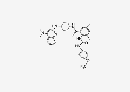 Cc1cc(C)c(NC(=O)Nc2ccc(OC(F)(F)F)cc2)c(C(=O)N[C@H]2CC[C@@H](Nc3cc(N(C)C)c4ccccc4n3)CC2)c1